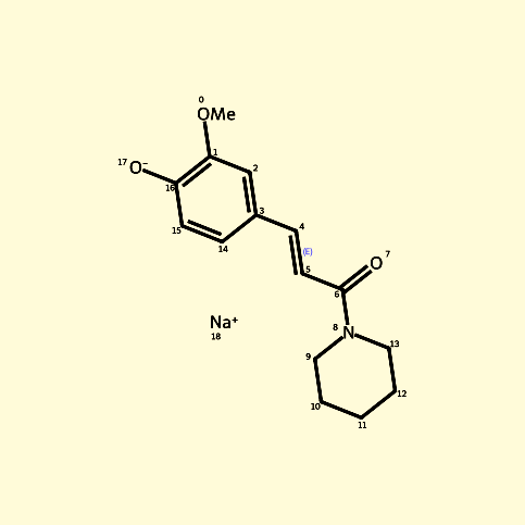 COc1cc(/C=C/C(=O)N2CCCCC2)ccc1[O-].[Na+]